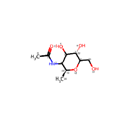 CC(=O)NC1C(O)[C@H](O)C(CO)O[C@H]1C